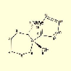 CN[C@H]1CCCCC[C@@]1(O)c1ccccc1